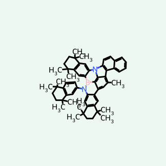 Cc1cc2c3c4c1c1c5ccccc5ccc1n4-c1cc4c(cc1B3N(c1ccc3c(c1)C(C)(C)CCC3(C)C)c1cc3c(cc1-2)C(C)(C)CCC3(C)C)C(C)(C)CCC4(C)C